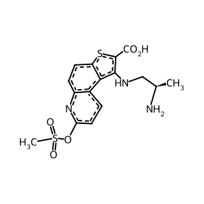 C[C@@H](N)CNc1c(C(=O)O)sc2ccc3nc(OS(C)(=O)=O)ccc3c12